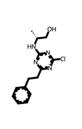 C[C@H](CO)Nc1nc(Cl)nc(CCc2ccccc2)n1